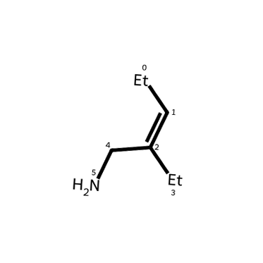 CC/C=C(/CC)CN